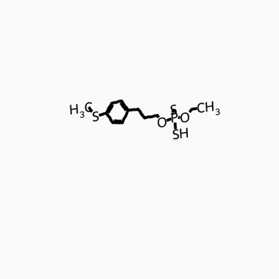 CCOP(=S)(S)OCCCc1ccc(SC)cc1